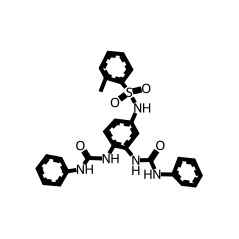 Cc1ccccc1S(=O)(=O)Nc1ccc(NC(=O)Nc2ccccc2)c(NC(=O)Nc2ccccc2)c1